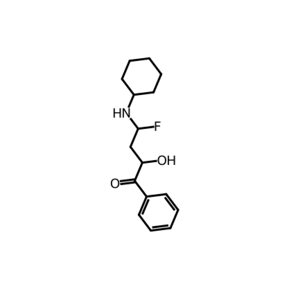 O=C(c1ccccc1)C(O)CC(F)NC1CCCCC1